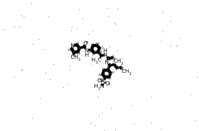 C=C/C=C/C(=N\C(=C/C)N[C@@H](C)c1cccc(NC(=O)c2cncc(C)c2)c1)c1ccc(S(N)(=O)=O)cc1